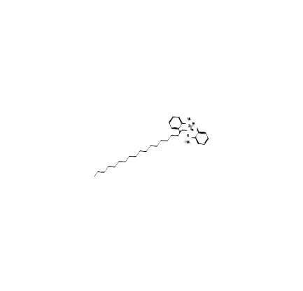 CCCCCCCCCCCCCCCCCCP(=O)(S(=O)(=O)c1ccccc1C)S(=O)(=O)c1ccccc1C